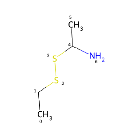 CCSSC(C)N